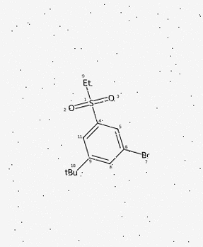 CCS(=O)(=O)c1cc(Br)cc(C(C)(C)C)c1